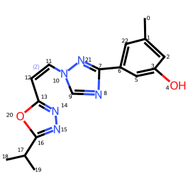 Cc1cc(O)cc(-c2ncn(/C=C\c3nnc(C(C)C)o3)n2)c1